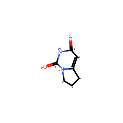 O=C1C=C2CCCN2C(=O)[N]1